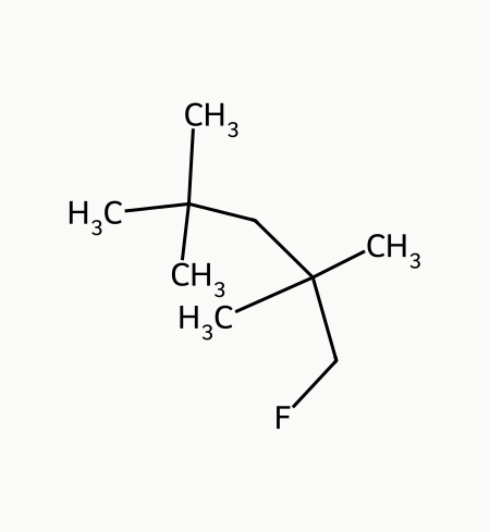 CC(C)(C)CC(C)(C)CF